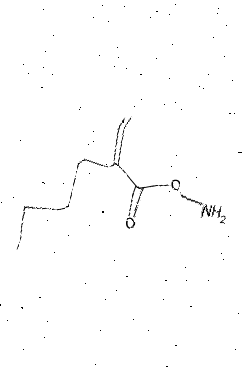 C=C(CCCC)C(=O)ON